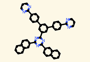 c1cnc(-c2ccc(-c3cc(-c4ccc(-c5ncccn5)cc4)cc(-c4nc(-c5ccc6ccccc6c5)nc(-c5ccc6ccccc6c5)n4)c3)cc2)nc1